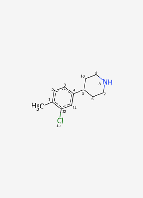 Cc1ccc(C2CCNCC2)cc1Cl